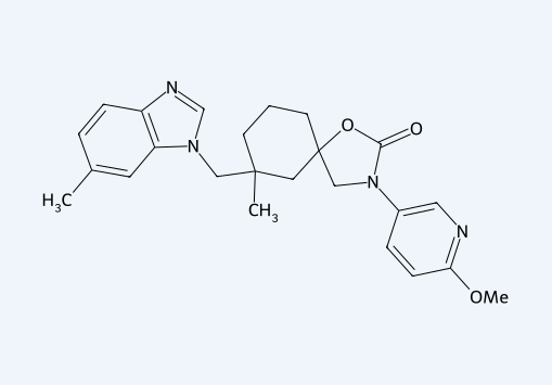 COc1ccc(N2CC3(CCCC(C)(Cn4cnc5ccc(C)cc54)C3)OC2=O)cn1